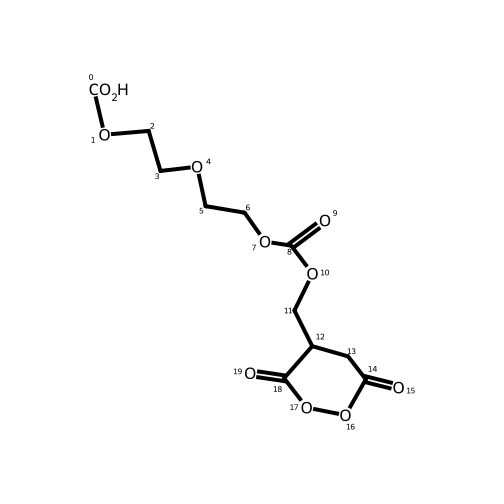 O=C(O)OCCOCCOC(=O)OCC1CC(=O)OOC1=O